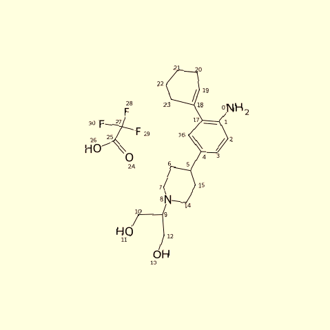 Nc1ccc(C2CCN(C(CO)CO)CC2)cc1C1=CCCCC1.O=C(O)C(F)(F)F